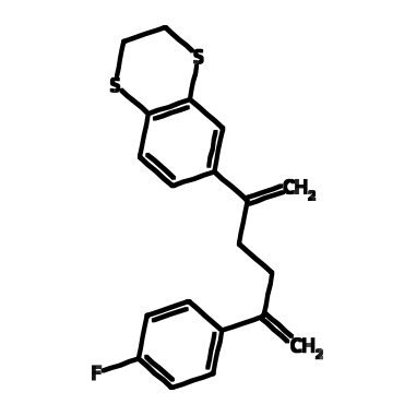 C=C(CCC(=C)c1ccc2c(c1)SCCS2)c1ccc(F)cc1